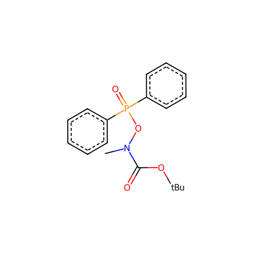 CN(OP(=O)(c1ccccc1)c1ccccc1)C(=O)OC(C)(C)C